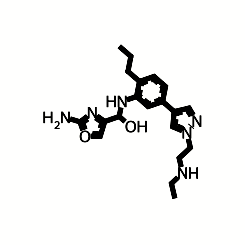 CCCc1ccc(-c2cnn(CCNCC)c2)cc1NC(O)c1coc(N)n1